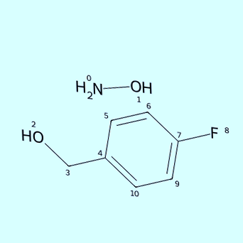 NO.OCc1ccc(F)cc1